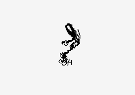 CCOCCn1c(CN2CCN(CCCCn3cc(S(=O)(=O)O)cn3)CC2)nc2ccccc21